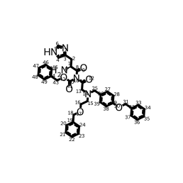 N[C@@H](Cc1c[nH]cn1)C(=O)N(C(=O)CN(CCOCc1ccccc1)Cc1ccc(OCc2ccccc2)cc1)C(=O)OCc1ccccc1